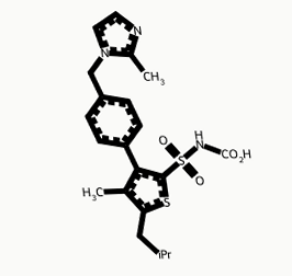 Cc1c(CC(C)C)sc(S(=O)(=O)NC(=O)O)c1-c1ccc(Cn2ccnc2C)cc1